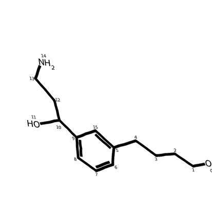 COCCCCc1cccc(C(O)CCN)c1